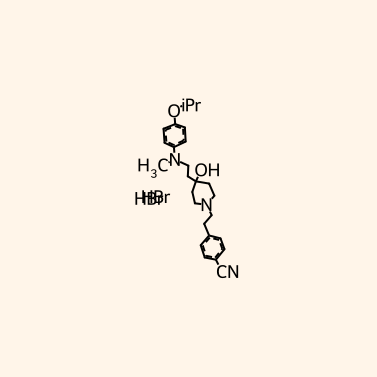 Br.Br.CC(C)Oc1ccc(N(C)CCC2(O)CCN(CCc3ccc(C#N)cc3)CC2)cc1